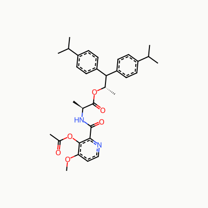 COc1ccnc(C(=O)N[C@@H](C)C(=O)O[C@@H](C)C(c2ccc(C(C)C)cc2)c2ccc(C(C)C)cc2)c1OC(C)=O